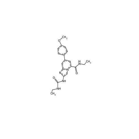 CCNC(=O)Nc1cn2c(C(=O)NCC)cc(-c3ccc(OC)cc3)cc2n1